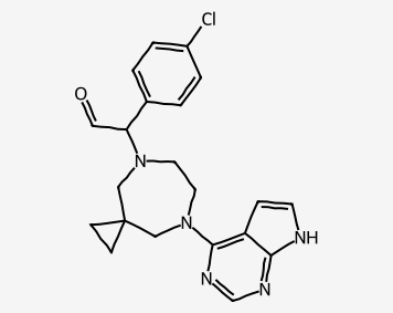 O=CC(c1ccc(Cl)cc1)N1CCN(c2ncnc3[nH]ccc23)CC2(CC2)C1